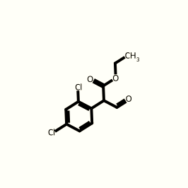 CCOC(=O)C(C=O)c1ccc(Cl)cc1Cl